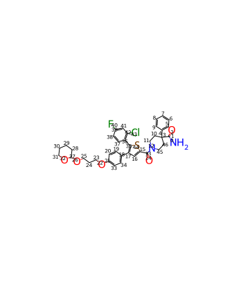 NC(=O)C1(c2ccccc2)CCN(C(=O)c2cc(-c3ccc(OCCCOC4CCCCO4)cc3)c(-c3ccc(F)cc3Cl)s2)CC1